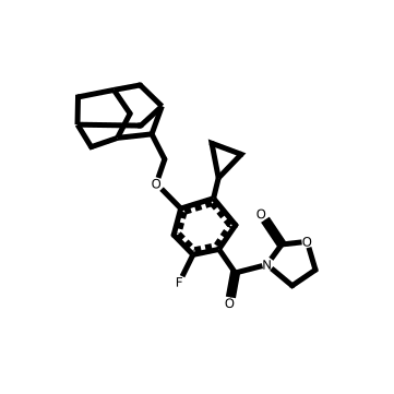 O=C1OCCN1C(=O)c1cc(C2CC2)c(OCC2C3CC4CC(C3)CC2C4)cc1F